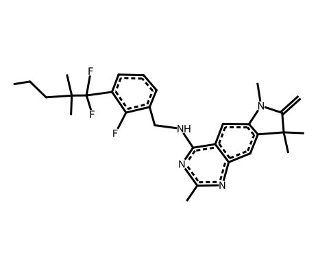 C=C1N(C)c2cc3c(NCc4cccc(C(F)(F)C(C)(C)CCC)c4F)nc(C)nc3cc2C1(C)C